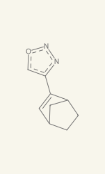 C1=C(c2conn2)C2CCC1C2